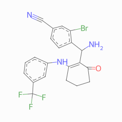 N#Cc1ccc(C(N)C2=C(Nc3cccc(C(F)(F)F)c3)CCCC2=O)c(Br)c1